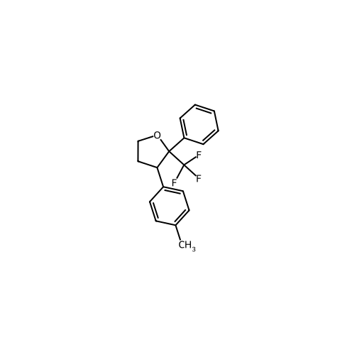 Cc1ccc(C2CCOC2(c2ccccc2)C(F)(F)F)cc1